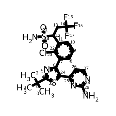 CC(C)(C)c1nc(-c2cccc(C(CC(F)(F)F)S(N)(=O)=O)c2Cl)c(-c2ccnc(N)n2)s1